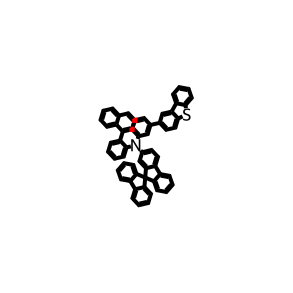 c1cc(-c2ccc3sc4ccccc4c3c2)cc(N(c2ccc3c(c2)C2(c4ccccc4-c4ccccc42)c2ccccc2-3)c2ccccc2-c2cccc3ccccc23)c1